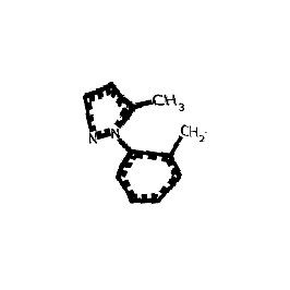 [CH2]c1ccccc1-n1nccc1C